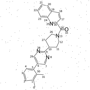 Cc1cccc(-c2cnc(C3CCN(C(=O)c4ccc5ccccc5n4)CC3)nc2)c1C